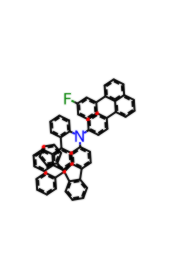 Fc1cccc(-c2cccc3cccc(-c4ccc(N(c5ccc6c(c5)C(c5ccccc5)(c5ccccc5)c5ccccc5-6)c5ccccc5-c5cccc6ccccc56)cc4)c23)c1